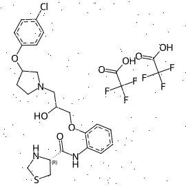 O=C(Nc1ccccc1OCC(O)CN1CCC(Oc2ccc(Cl)cc2)C1)[C@@H]1CSCN1.O=C(O)C(F)(F)F.O=C(O)C(F)(F)F